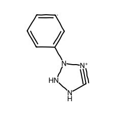 C1#[N+]N(c2c[c]ccc2)NN1